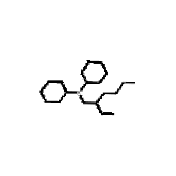 CCCCC(CC)CP(C1CCCCC1)C1CCCCC1